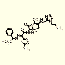 NCCn1nnnc1SCC1=C(C(=O)O)N2C(=O)C(NC(=O)/C(=N/OC(C(=O)O)c3ccccc3)c3nsc(N)n3)[C@H]2SC1